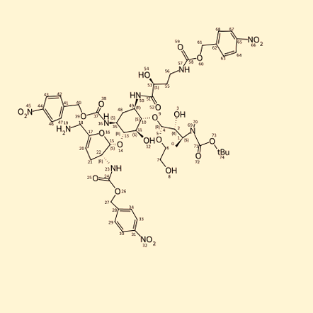 C[C@@H]([C@@H](O)[C@H](OCCO)O[C@@H]1[C@@H](O)[C@H](O[C@H]2OC(CN)=CC[C@H]2NC(=O)OCc2ccc([N+](=O)[O-])cc2)[C@@H](NC(=O)OCc2ccc([N+](=O)[O-])cc2)C[C@H]1NC(=O)[C@@H](O)CCNC(=O)OCc1ccc([N+](=O)[O-])cc1)N(C)C(=O)OC(C)(C)C